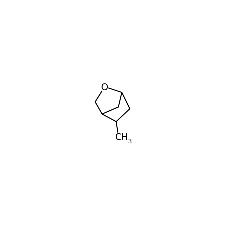 CC1CC2CC1CO2